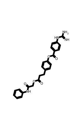 N=C(N)Nc1ccc(C(=O)Oc2ccc(CCC(=O)OCC(=O)Nc3ccccc3)cc2)cc1